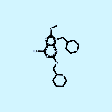 COc1nc2c(N)nc(OCC3CCCCO3)nc2n1CC1CCOCC1